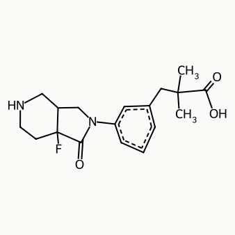 CC(C)(Cc1cccc(N2CC3CNCCC3(F)C2=O)c1)C(=O)O